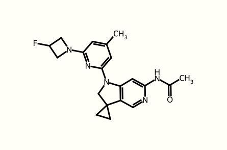 CC(=O)Nc1cc2c(cn1)C1(CC1)CN2c1cc(C)cc(N2CC(F)C2)n1